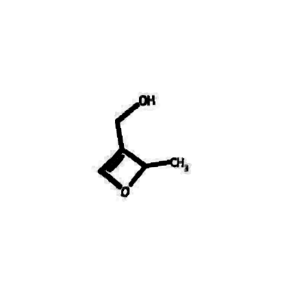 CC1OC=C1CO